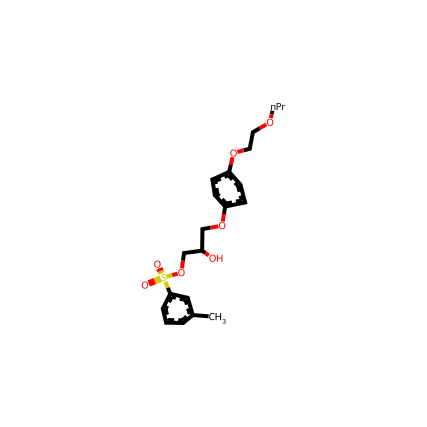 CCCOCCOc1ccc(OCC(O)COS(=O)(=O)c2cccc(C)c2)cc1